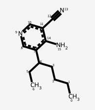 CCCCC(CC)c1cncc(C#N)c1N